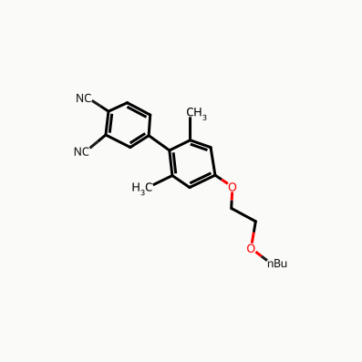 CCCCOCCOc1cc(C)c(-c2ccc(C#N)c(C#N)c2)c(C)c1